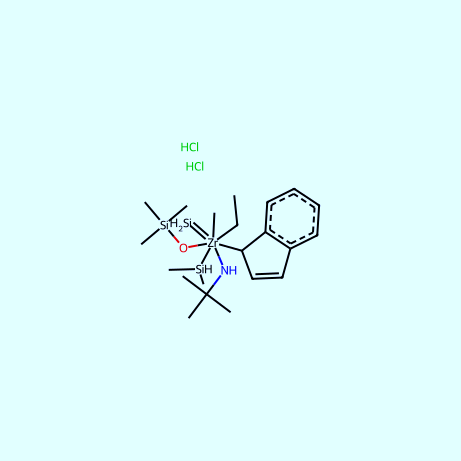 C[CH2][Zr]([CH3])(=[SiH2])([NH]C(C)(C)C)([O][Si](C)(C)C)([CH]1C=Cc2ccccc21)[SiH](C)C.Cl.Cl